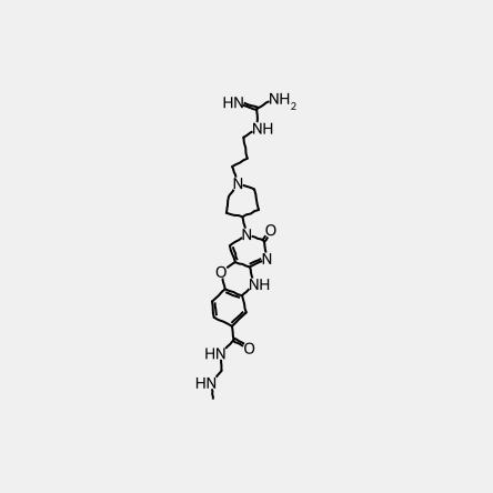 CNCNC(=O)c1ccc2c(c1)Nc1nc(=O)n(C3CCN(CCCNC(=N)N)CC3)cc1O2